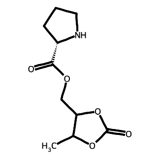 CC1OC(=O)OC1COC(=O)[C@@H]1CCCN1